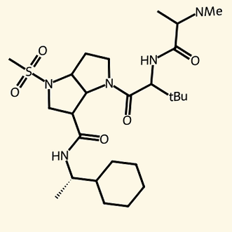 CNC(C)C(=O)NC(C(=O)N1CCC2C1C(C(=O)N[C@@H](C)C1CCCCC1)CN2S(C)(=O)=O)C(C)(C)C